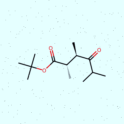 CC(C)C(=O)[C@H](C)[C@H](C)C(=O)OC(C)(C)C